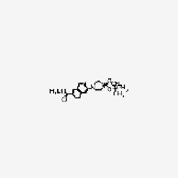 COC(=O)C1=Cc2cnc(N3CCN(C(=O)OC(C)(C)C)CC3)cc2CC1